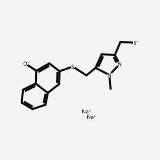 Cn1nc(C[S-])cc1CSc1cc([O-])c2ccccc2c1.[Na+].[Na+]